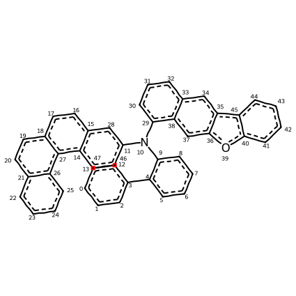 c1ccc(-c2ccccc2N(c2ccc3c(ccc4ccc5ccccc5c43)c2)c2cccc3cc4c(cc23)oc2ccccc24)cc1